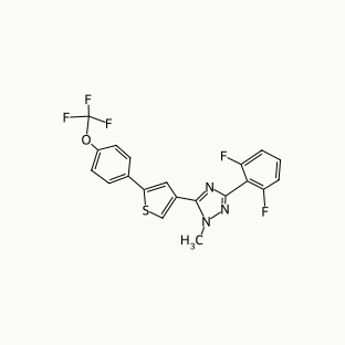 Cn1nc(-c2c(F)cccc2F)nc1-c1csc(-c2ccc(OC(F)(F)F)cc2)c1